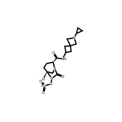 O=C(NC1CC2(C1)CN(C1CC1)C2)[C@@H]1CC[C@@H]2CN1C(=O)N2O[SH](=O)=O